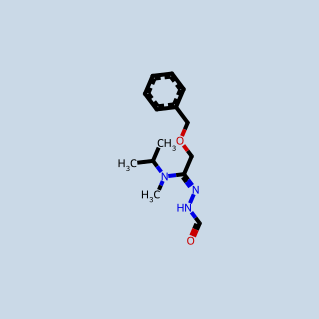 CC(C)N(C)/C(COCc1ccccc1)=N\NC=O